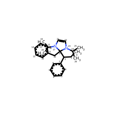 CCC(c1ccccc1)C1(Cc2ccccc2)N(C(C)C)C=CN1C(C)C